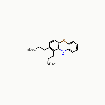 CCCCCCCCCCCCc1ccc2c(c1CCCCCCCCCCCC)Nc1ccccc1S2